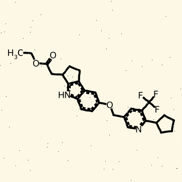 CCOC(=O)CC1CCc2c1[nH]c1ccc(OCc3cnc(C4CCCC4)c(C(F)(F)F)c3)cc21